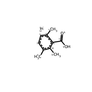 Cc1ccc(C)c(C(=O)O)c1C.[In]